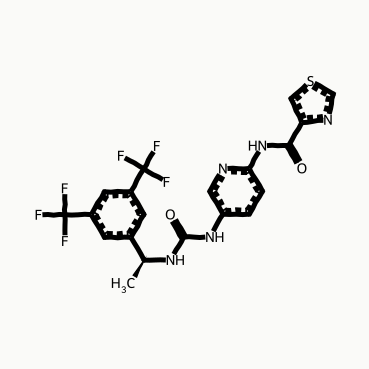 C[C@H](NC(=O)Nc1ccc(NC(=O)c2cscn2)nc1)c1cc(C(F)(F)F)cc(C(F)(F)F)c1